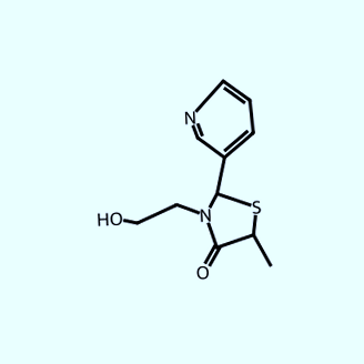 CC1SC(c2cccnc2)N(CCO)C1=O